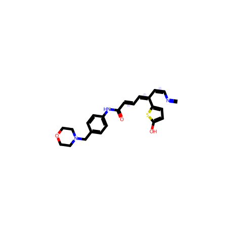 C=N\C=C/C(=C/C=C/C(=O)Nc1ccc(CN2CCOCC2)cc1)c1ccc(O)s1